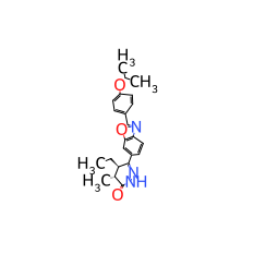 CC[C@H]1C(c2ccc3nc(-c4ccc(OC(C)C)cc4)oc3c2)=NNC(=O)[C@@H]1C